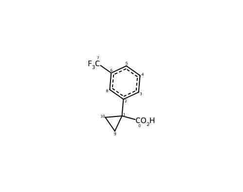 O=C(O)C1(c2cccc(C(F)(F)F)c2)CC1